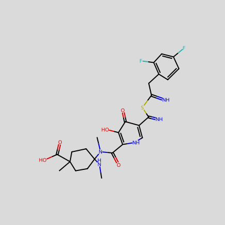 CNC1(N(C)C(=O)c2[nH]cc(C(=N)SC(=N)Cc3ccc(F)cc3F)c(=O)c2O)CCC(C)(C(=O)O)CC1